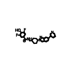 O=C(NCC1CCC(n2cc3ccc(-c4cccnc4)cc3n2)CC1)c1cc(F)c(O)c(F)c1